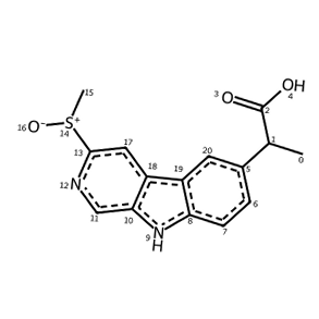 CC(C(=O)O)c1ccc2[nH]c3cnc([S+](C)[O-])cc3c2c1